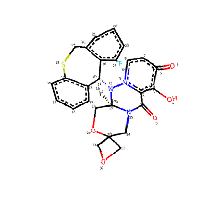 O=C1c2c(O)c(=O)ccn2N([C@@H]2c3ccccc3SCc3cccc(F)c32)[C@@H]2COC3(COC3)CN12